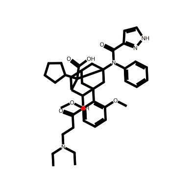 CCN(CC)CCC(=O)NC1C2CC3CC1(c1c(OC)cccc1OC)CC(N(C(=O)c1cc[nH]n1)c1ccccc1)(C3)C2(C(=O)O)C1CCCC1